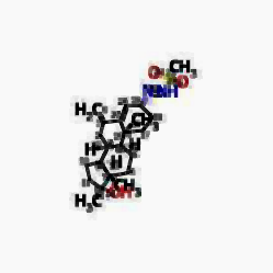 C=C1C[C@@H]2[C@H](CC[C@@]3(C)[C@H]2CC[C@]3(C)O)[C@@]2(C)CC/C(=N\NS(C)(=O)=O)C=C12